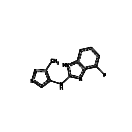 Cc1cscc1Nc1nc2c(F)cccc2[nH]1